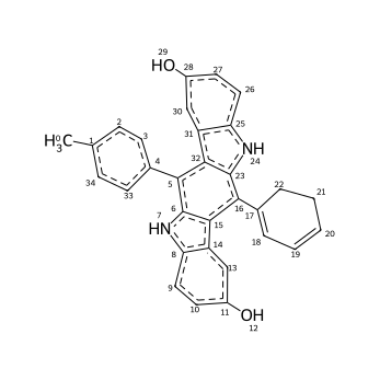 Cc1ccc(-c2c3[nH]c4ccc(O)cc4c3c(C3=CC=CCC3)c3[nH]c4ccc(O)cc4c23)cc1